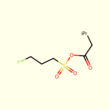 CC(C)CC(=O)OS(=O)(=O)CCCF